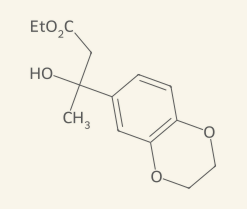 CCOC(=O)CC(C)(O)c1ccc2c(c1)OCCO2